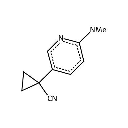 CNc1ccc(C2(C#N)CC2)cn1